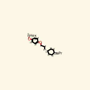 CCCCCCOc1ccc(OCCC[C@H]2CC[C@H](CCC)CC2)cc1